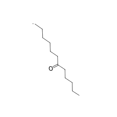 [CH2]CCCCCC(=O)CCCCC